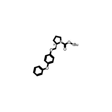 CC(C)(C)OC(=O)N1CCC[C@@H]1COc1ccc(Oc2ccccc2)cc1